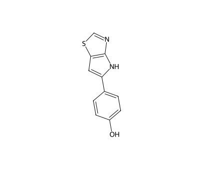 Oc1ccc(-c2cc3scnc3[nH]2)cc1